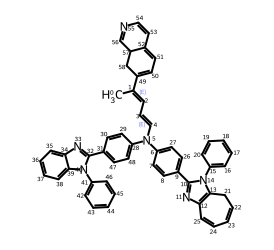 C/C(=C\C=C\N(c1ccc(-c2nc3c(n2-c2ccccc2)CC=CC=C3)cc1)c1ccc(-c2nc3ccccc3n2-c2ccccc2)cc1)C1=CC=C2C=CN=CC2C1